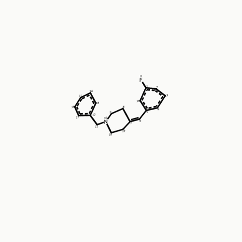 Fc1cccc(C=C2CCN(Cc3ccccc3)CC2)c1